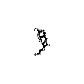 FCCOC1CN(Cc2cnc(Cl)nc2Cl)C1